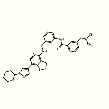 CN(C)Cc1cccc(C(=O)Nc2cccc(CNc3ncc(-c4cnn(C5CCCCO5)c4)c4c3CCO4)c2)c1